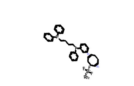 C1=C\CC/C=C\CC/1.F[B-](F)(F)F.[Rh].c1ccc(P(CCCCP(c2ccccc2)c2ccccc2)c2ccccc2)cc1